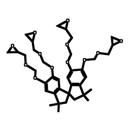 CC1(C)CC2(CC(C)(C)c3cc(OCOCC4CO4)c(OCOCC4CO4)cc32)c2cc(OCOCC3CO3)c(OCOCC3CO3)cc21